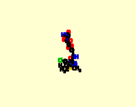 Cc1sc2c(c1C)C(c1ccc(Cl)cc1)=N[C@@H](CC(=O)NCCc1ccc(S(=O)(=O)N3CC4(CC(=O)N(C5CCC(=O)NC5=O)C4=O)C3)cc1)c1nnc(C)n1-2